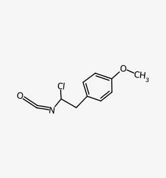 COc1ccc(CC(Cl)N=C=O)cc1